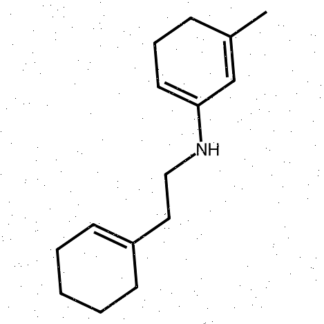 CC1=CC(NCCC2=CCCCC2)=CCC1